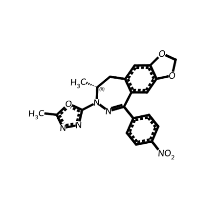 Cc1nnc(N2N=C(c3ccc([N+](=O)[O-])cc3)c3cc4c(cc3C[C@H]2C)OCO4)o1